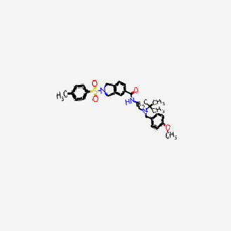 COc1ccc(CN(CCNC(=O)c2ccc3c(c2)CN(S(=O)(=O)c2ccc(C)cc2)C3)C(C)(C)C)cc1